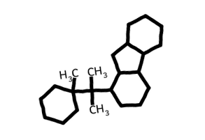 CC1(C(C)(C)C2CCCC3C4CCCCC4CC32)CCCCC1